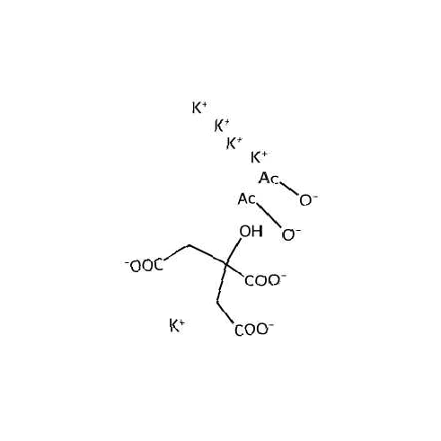 CC(=O)[O-].CC(=O)[O-].O=C([O-])CC(O)(CC(=O)[O-])C(=O)[O-].[K+].[K+].[K+].[K+].[K+]